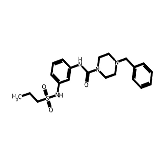 CCCS(=O)(=O)Nc1cccc(NC(=O)N2CCN(Cc3ccccc3)CC2)c1